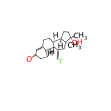 C[C@]1(O)CC[C@H]2[C@@H]3CCC4=CC(=O)CC[C@@H]4[C@H]3/C(=C/F)C[C@@]21C